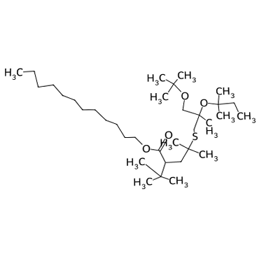 CCCCCCCCCCCCOC(=O)C(CC(C)(C)SCC(C)(COC(C)(C)C)OC(C)(C)CC)C(C)(C)C